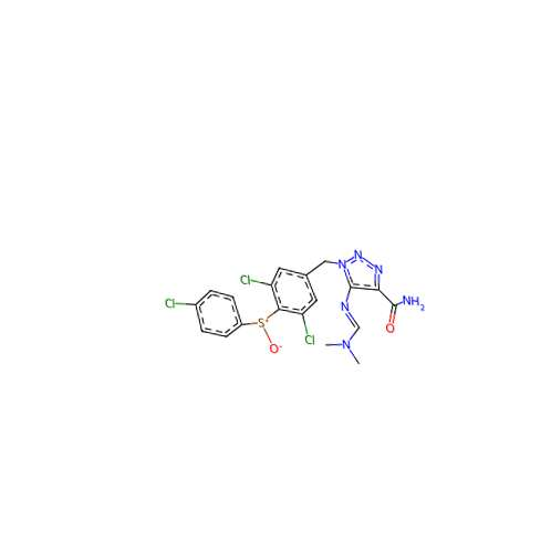 CN(C)C=Nc1c(C(N)=O)nnn1Cc1cc(Cl)c([S+]([O-])c2ccc(Cl)cc2)c(Cl)c1